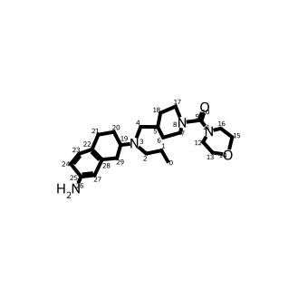 CCCN(CC1CCN(C(=O)N2CCOCC2)CC1)C1CCc2ccc(N)cc2C1